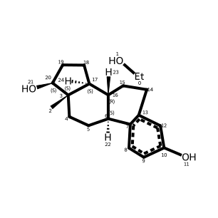 CCO.C[C@]12CC[C@@H]3c4ccc(O)cc4CC[C@H]3[C@@H]1CC[C@@H]2O